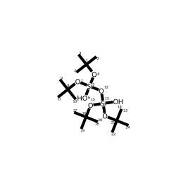 CC(C)(C)O[Si](O)(OC(C)(C)C)O[Si](O)(OC(C)(C)C)OC(C)(C)C